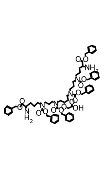 NC(CCCN(CCCN(CCC(CN(CCCN(CCCC(N)C(=O)OCc1ccccc1)C(=O)OCc1ccccc1)C(=O)OCc1ccccc1)OCC(=O)O)C(=O)OCc1ccccc1)C(=O)OCc1ccccc1)C(=O)OCc1ccccc1